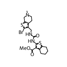 COC(=O)c1c(NC(=O)NCc2c(Br)sc3c2CCN(C)C3)sc2c1CCCC2